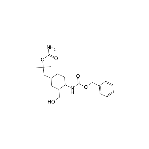 CC(C)(CC1CCC(NC(=O)OCc2ccccc2)C(CO)C1)OC(N)=O